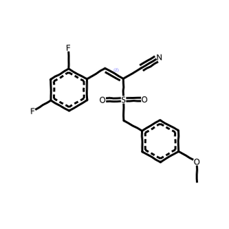 COc1ccc(CS(=O)(=O)/C(C#N)=C\c2ccc(F)cc2F)cc1